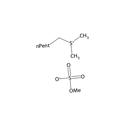 CCCCCC[S+](C)C.COS(=O)(=O)[O-]